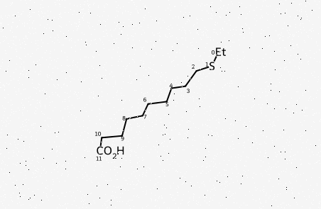 CCSCCCCCCCCCC(=O)O